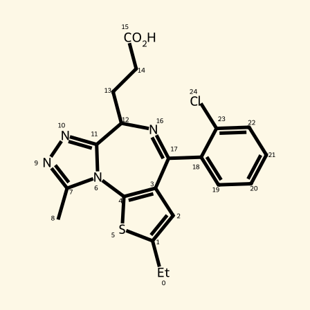 CCc1cc2c(s1)-n1c(C)nnc1C(CCC(=O)O)N=C2c1ccccc1Cl